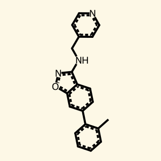 Cc1ccccc1-c1ccc2c(NCc3ccncc3)noc2c1